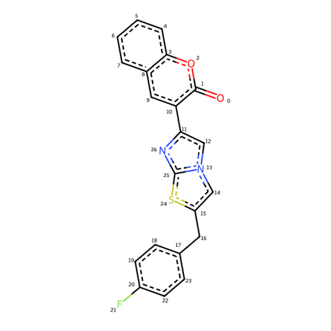 O=c1oc2ccccc2cc1-c1cn2cc(Cc3ccc(F)cc3)sc2n1